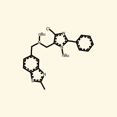 CCCCN(Cc1ccc2sc(C)nc2c1)Cc1c(Cl)nc(-c2ccccc2)n1CCCC